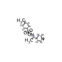 C/C(=N\OS(=O)(=O)c1ccc(C)cc1)c1ccncc1